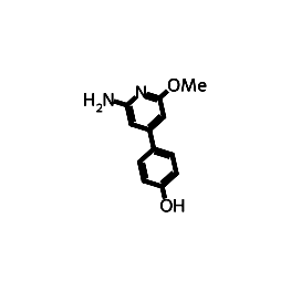 COc1cc(-c2ccc(O)cc2)cc(N)n1